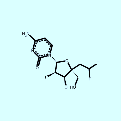 Nc1ccn([C@@H]2O[C@@](CO)(CC(F)F)[C@@H](O)[C@H]2F)c(=O)n1